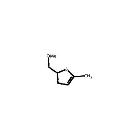 COCC1CC=C(C)S1